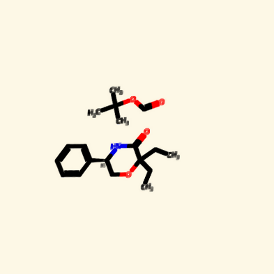 CC(C)(C)OC=O.CCC1(CC)OC[C@@H](c2ccccc2)NC1=O